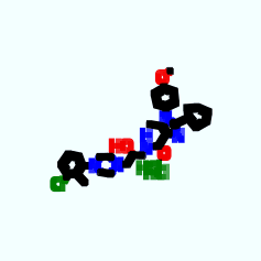 COc1ccc(-n2c(-c3ccccc3)nc(C(=O)NCC(O)CN3CCN(c4cccc(Cl)c4C)CC3)c2C)cc1.Cl.Cl